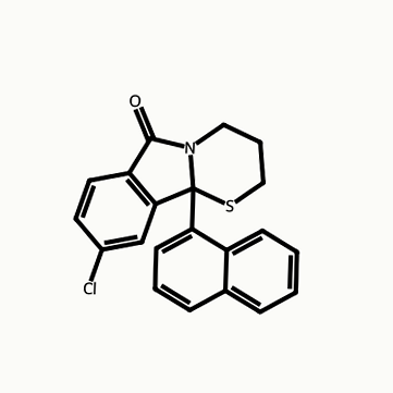 O=C1c2ccc(Cl)cc2C2(c3cccc4ccccc34)SCCCN12